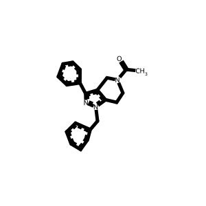 CC(=O)N1CCc2c(c(-c3ccccc3)nn2Cc2ccccc2)C1